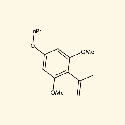 C=C(C)c1c(OC)cc(OCCC)cc1OC